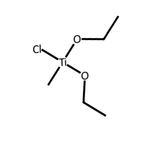 CC[O][Ti]([CH3])([Cl])[O]CC